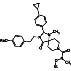 CCON(C)C(=O)N1CCC2(CC1)C(=O)N(CCc1ccc(OC)cc1)C(c1ccc(C3CC3)cc1)N2C